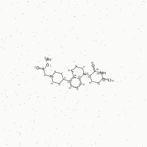 CCCCOC(=O)CN1CCC(c2cccc3c2SCCN3C2CCC(=O)NC2=O)CC1